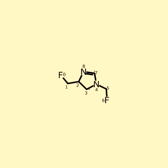 FCC1[CH]N(CF)[C]=N1